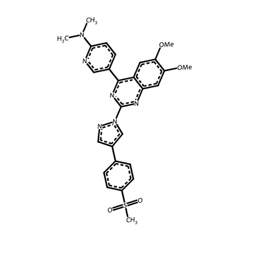 COc1cc2nc(-n3cc(-c4ccc(S(C)(=O)=O)cc4)cn3)nc(-c3ccc(N(C)C)nc3)c2cc1OC